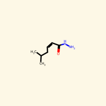 CC(C)C/C=C\C(=O)NN